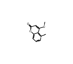 COc1cc(=O)oc2cccc(C)c12